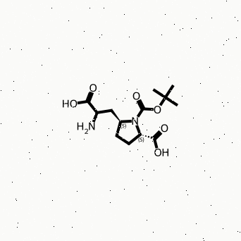 CC(C)(C)OC(=O)N1[C@H](CC(N)C(=O)O)CC[C@H]1C(=O)O